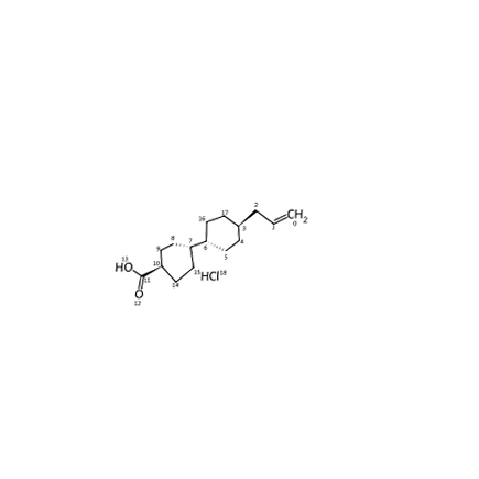 C=CC[C@H]1CC[C@H]([C@H]2CC[C@H](C(=O)O)CC2)CC1.Cl